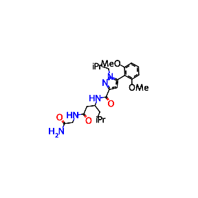 COc1cccc(OC)c1-c1cc(C(=O)NC(CC(=O)NCC(N)=O)CC(C)C)nn1CC(C)C